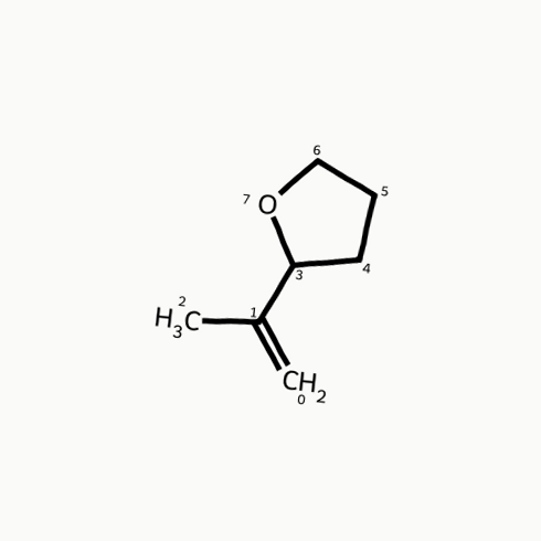 C=C(C)C1CCCO1